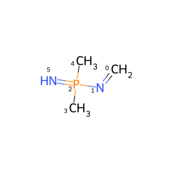 C=NP(C)(C)=N